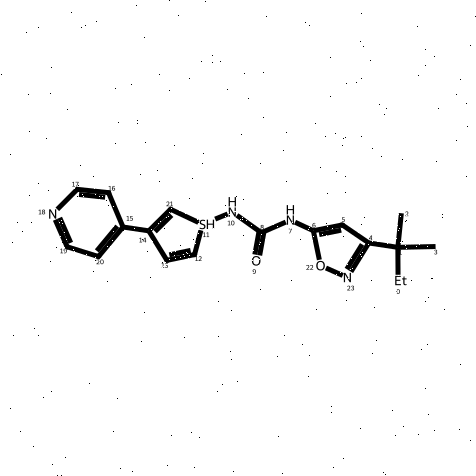 CCC(C)(C)c1cc(NC(=O)N[SH]2C=CC(c3ccncc3)=C2)on1